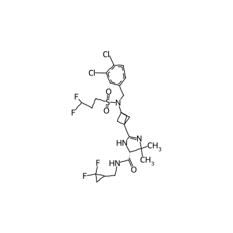 CC1(C)N=C(C23CC(N(Cc4ccc(Cl)c(Cl)c4)S(=O)(=O)CCC(F)F)(C2)C3)N[C@H]1C(=O)NCC1CC1(F)F